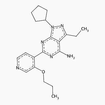 CCCOc1cnccc1-c1nc(N)c2c(CC)nn(C3CCCC3)c2n1